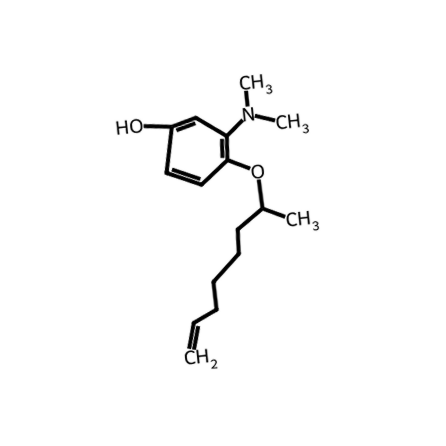 C=CCCCCC(C)Oc1ccc(O)cc1N(C)C